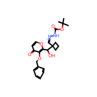 CC(C)(C)OC(=O)N/N=C\C1(C(O)c2occc(=O)c2OCc2ccccc2)CCC1